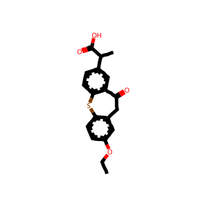 CCOc1ccc2c(c1)CC(=O)c1cc(C(C)C(=O)O)ccc1S2